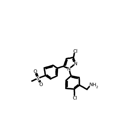 CS(=O)(=O)c1ccc(-c2cc(Cl)nn2-c2ccc(Cl)c(CN)c2)cc1